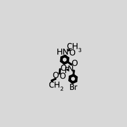 C=CCOC(=O)COc1ccc(NC(C)=O)cc1C(=O)N(F)Cc1ccc(Br)cc1